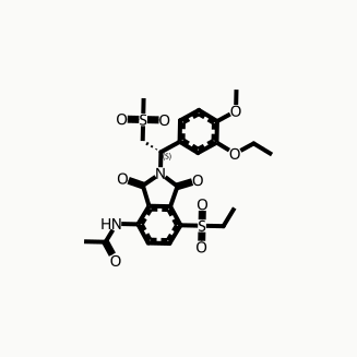 CCOc1cc([C@@H](CS(C)(=O)=O)N2C(=O)c3c(NC(C)=O)ccc(S(=O)(=O)CC)c3C2=O)ccc1OC